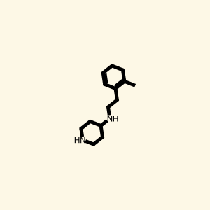 CC1=C(CCNC2CCNCC2)C=CCC1